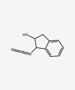 [N-]=[N+]=NC1c2ccccc2CC1O